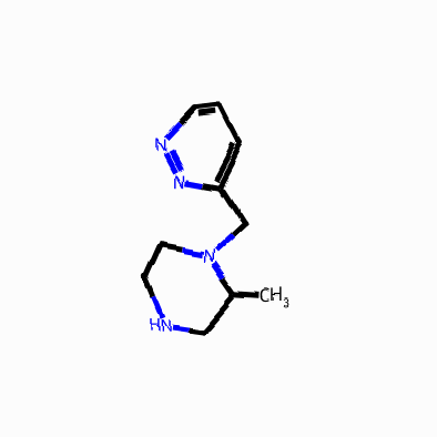 CC1CNCCN1Cc1cccnn1